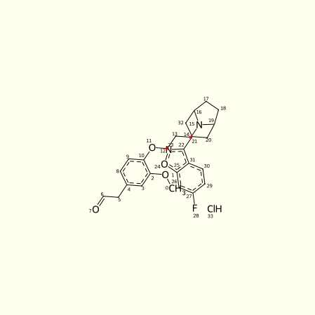 COc1cc(CC=O)ccc1OCCCN1C2CCC1CC(c1noc3cc(F)ccc13)C2.Cl